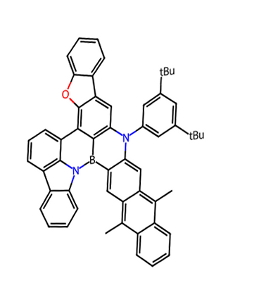 Cc1c2ccccc2c(C)c2cc3c(cc12)B1c2c(cc4c(oc5ccccc54)c2-c2cccc4c5ccccc5n1c24)N3c1cc(C(C)(C)C)cc(C(C)(C)C)c1